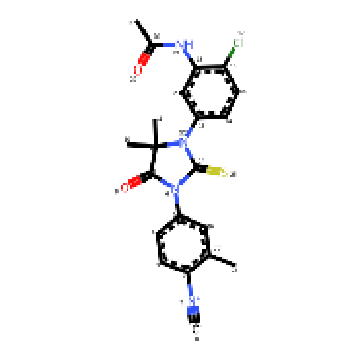 [C-]#[N+]c1ccc(N2C(=O)C(C)(C)N(c3ccc(Cl)c(NC(C)=O)c3)C2=S)cc1C